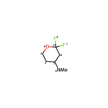 CNC1CCOC(F)(F)C1